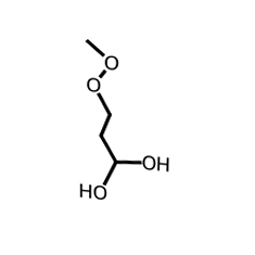 COOCCC(O)O